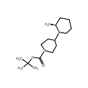 C[C@H]1CCCCN1C1CCN(C(=O)OC(C)(C)C)CC1